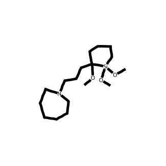 COC1(CCCN2CCCCCC2)CCCC[Si]1(OC)OC